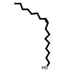 CCCCCCC/C=C\CCCCCCCCO